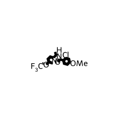 COc1ccc(C(=O)NC(C)c2ccc(OCC(F)(F)F)cn2)c(Cl)c1